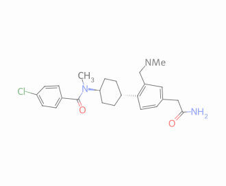 CNCc1cc(CC(N)=O)ccc1[C@H]1CC[C@H](N(C)C(=O)c2ccc(Cl)cc2)CC1